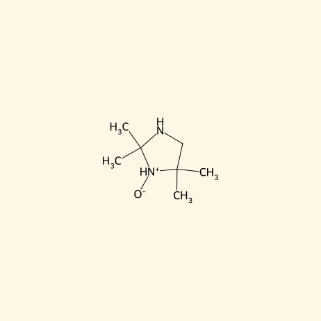 CC1(C)CNC(C)(C)[NH+]1[O-]